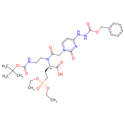 CCOP(=O)(CC[C@H](C(=O)O)N(CCNC(=O)OC(C)(C)C)C(=O)Cn1ccc(NNC(=O)OCc2ccccc2)nc1=O)OCC